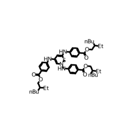 CCCCC(CC)COC(=O)c1ccc(NC2=CN(Nc3ccc(C(=O)OCC(CC)CCCC)cc3)SC(Nc3ccc(C(=O)OCC(CC)CCCC)cc3)=C2)cc1